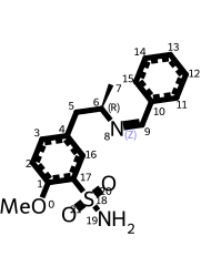 COc1ccc(C[C@@H](C)/N=C\c2ccccc2)cc1S(N)(=O)=O